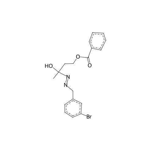 CC(O)(CCOC(=O)c1ccccc1)/N=N/Cc1cccc(Br)c1